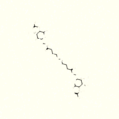 CCCC(=O)N[C@H]1C(O)O[C@H](COC(=O)CCCSSCCCC(=O)OC[C@H]2OC(O)[C@H](NC(=O)CCC)[C@@H](O)[C@@H]2O)[C@@H](O)[C@@H]1O